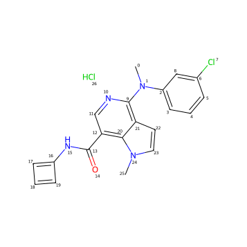 CN(c1cccc(Cl)c1)c1ncc(C(=O)NC2=CC=C2)c2c1ccn2C.Cl